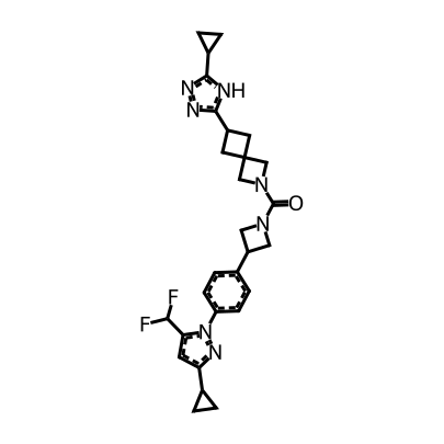 O=C(N1CC(c2ccc(-n3nc(C4CC4)cc3C(F)F)cc2)C1)N1CC2(CC(c3nnc(C4CC4)[nH]3)C2)C1